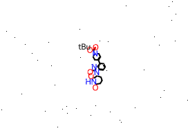 Cn1c(=O)n(C2CCCC(=O)NC2=O)c2cccc(C3=CCN(C(=O)OC(C)(C)C)CC3)c21